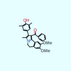 COc1cc2c(cc1OC)-c1c(C(=O)c3ccccc3)c(-c3cc(C)c(O)c(C)c3)c(C)n1CC2